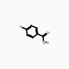 CC(C)COC(=O)c1ccc(F)cc1